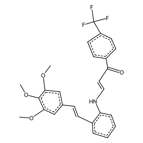 COc1cc(C=Cc2ccccc2NC=CC(=O)c2ccc(C(F)(F)F)cc2)cc(OC)c1OC